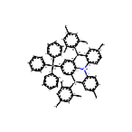 Cc1cc(C)c(B2c3cc(C)ccc3N3c4ccc(C)cc4B(c4c(C)cc(C)cc4C)c4cc([Si](c5ccccc5)(c5ccccc5)c5ccccc5)cc2c43)c(C)c1